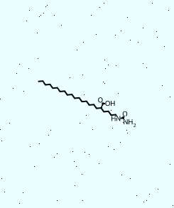 CCCCCCCCCCCCCCCCCC(CCCCNC(N)=O)C(=O)O